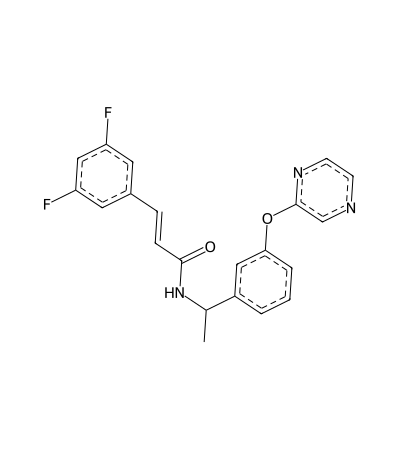 CC(NC(=O)/C=C/c1cc(F)cc(F)c1)c1cccc(Oc2cnccn2)c1